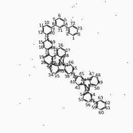 c1ccc(-c2cccc(-c3cccc(-c4ccc(-c5ccccc5-c5ccccc5-n5c6ccccc6c6cc(-c7ccc8c(c7)c7ccccc7n8-c7cccc(-c8ccccc8)c7)ccc65)cc4)c3)c2)cc1